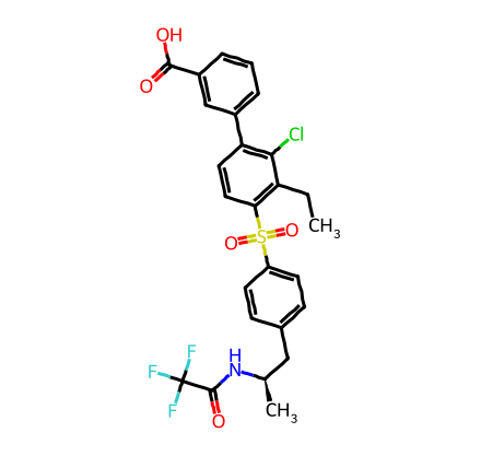 CCc1c(S(=O)(=O)c2ccc(C[C@@H](C)NC(=O)C(F)(F)F)cc2)ccc(-c2cccc(C(=O)O)c2)c1Cl